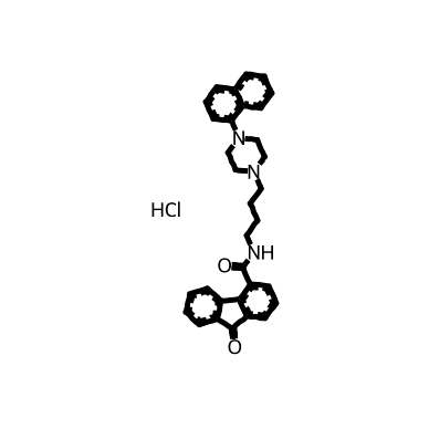 Cl.O=C(NCCCCN1CCN(c2cccc3ccccc23)CC1)c1cccc2c1-c1ccccc1C2=O